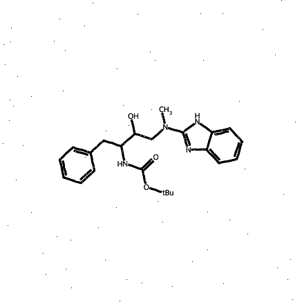 CN(CC(O)C(Cc1ccccc1)NC(=O)OC(C)(C)C)c1nc2ccccc2[nH]1